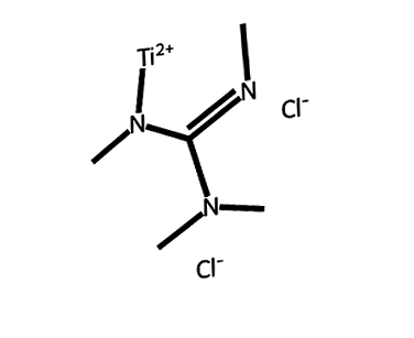 CN=C(N(C)C)[N](C)[Ti+2].[Cl-].[Cl-]